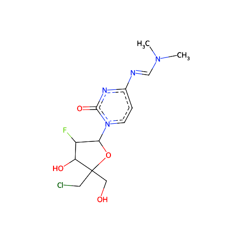 CN(C)/C=N/c1ccn(C2OC(CO)(CCl)C(O)C2F)c(=O)n1